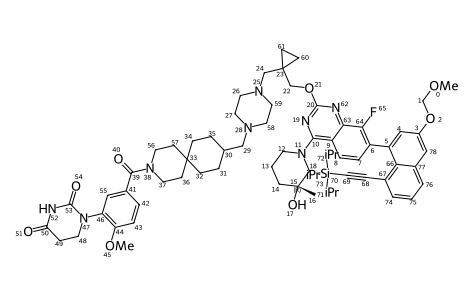 COCOc1cc(-c2ccc3c(N4CCC[C@@](C)(O)C4)nc(OCC4(CN5CCN(CC6CCC7(CC6)CCN(C(=O)c6ccc(OC)c(N8CCC(=O)NC8=O)c6)CC7)CC5)CC4)nc3c2F)c2c(C#C[Si](C(C)C)(C(C)C)C(C)C)cccc2c1